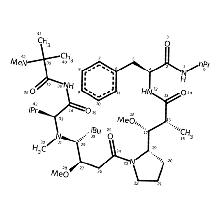 CCCNC(=O)[C@H](Cc1ccccc1)NC(=O)[C@H](C)[C@@H](OC)[C@@H]1CCCN1C(=O)C[C@@H](OC)[C@H]([C@@H](C)CC)N(C)[C@H](C(=O)NC(=O)C(C)(C)NC)C(C)C